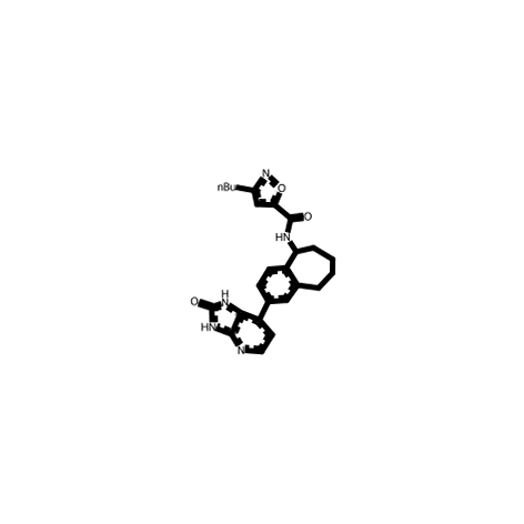 CCCCc1cc(C(=O)NC2CCCCc3cc(-c4ccnc5[nH]c(=O)[nH]c45)ccc32)on1